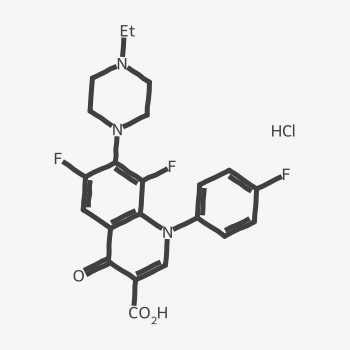 CCN1CCN(c2c(F)cc3c(=O)c(C(=O)O)cn(-c4ccc(F)cc4)c3c2F)CC1.Cl